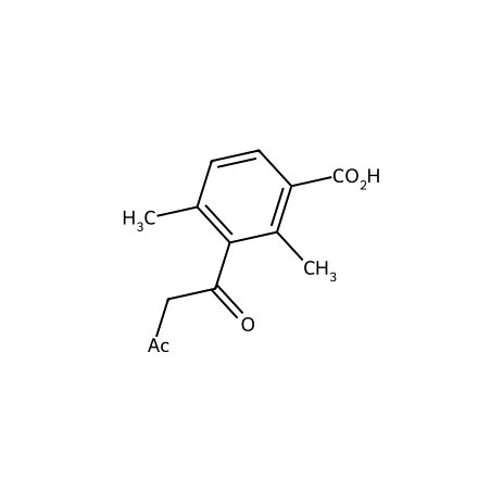 CC(=O)CC(=O)c1c(C)ccc(C(=O)O)c1C